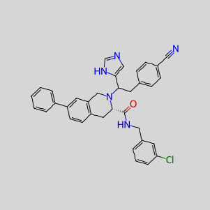 N#Cc1ccc(CC(c2cnc[nH]2)N2Cc3cc(-c4ccccc4)ccc3C[C@H]2C(=O)NCc2cccc(Cl)c2)cc1